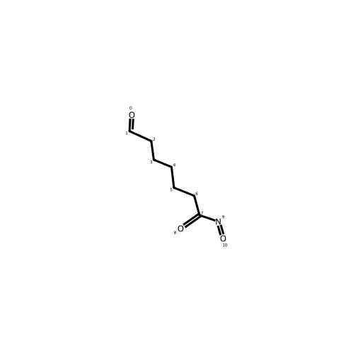 O=CCCCCCC(=O)N=O